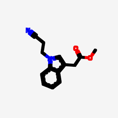 COC(=O)Cc1cn(CCC#N)c2ccccc12